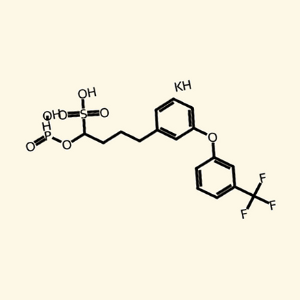 O=[PH](O)OC(CCCc1cccc(Oc2cccc(C(F)(F)F)c2)c1)S(=O)(=O)O.[KH]